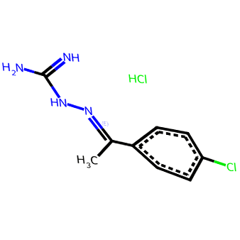 C/C(=N\NC(=N)N)c1ccc(Cl)cc1.Cl